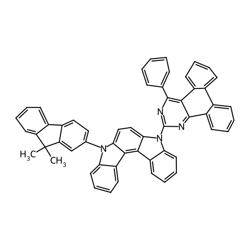 CC1(C)c2ccccc2-c2ccc(-n3c4ccccc4c4c5c6ccccc6n(-c6nc(-c7ccccc7)c7c8ccccc8c8ccccc8c7n6)c5ccc43)cc21